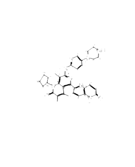 CC(=O)c1c(C)c2c(-c3ccc4[nH]c(=O)ccc4n3)nc(Nc3ccc(N4CCNCC4)cn3)c(C)c2n(C2CCCC2)c1=O